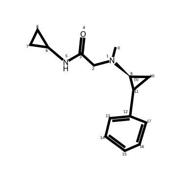 CN(CC(=O)NC1CC1)[C@H]1CC1c1ccccc1